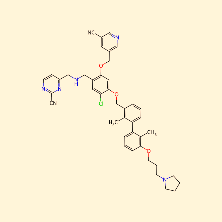 Cc1c(COc2cc(OCc3cncc(C#N)c3)c(CNCc3ccnc(C#N)n3)cc2Cl)cccc1-c1cccc(OCCCN2CCCC2)c1C